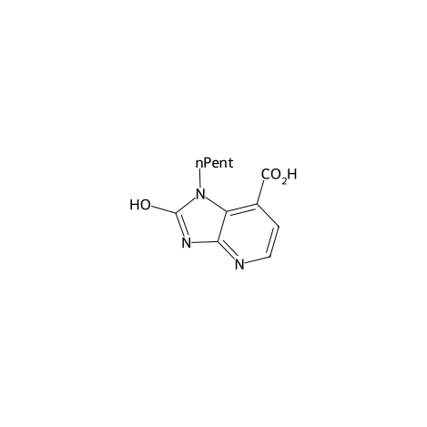 CCCCCn1c(O)nc2nccc(C(=O)O)c21